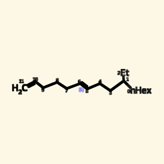 [CH2]CCCCCC(CC)CC/C=C/CCCC=C